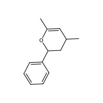 CC1=CC(C)CC(c2ccccc2)O1